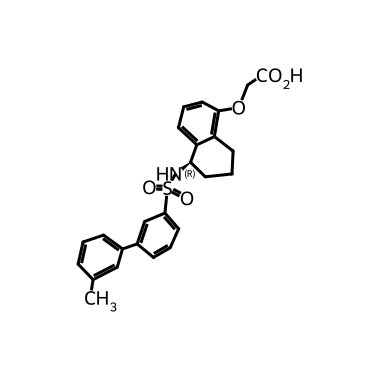 Cc1cccc(-c2cccc(S(=O)(=O)N[C@@H]3CCCc4c(OCC(=O)O)cccc43)c2)c1